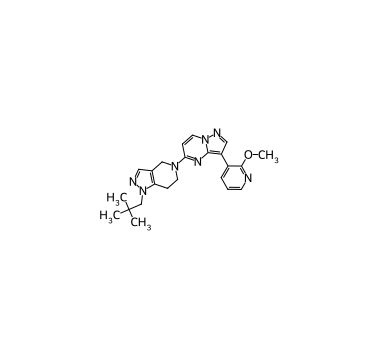 COc1ncccc1-c1cnn2ccc(N3CCc4c(cnn4CC(C)(C)C)C3)nc12